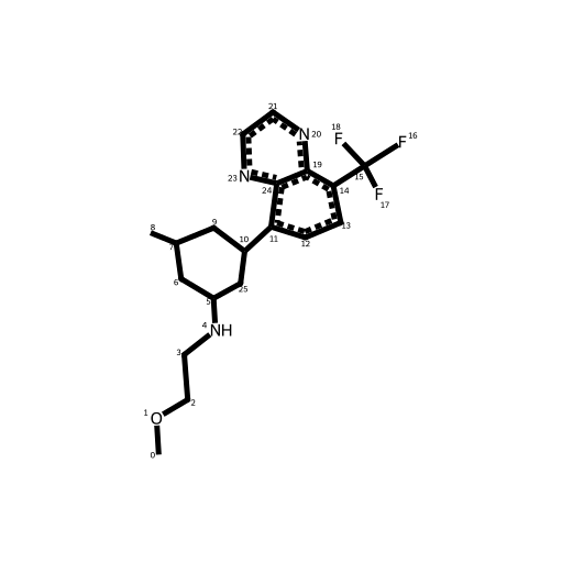 COCCNC1CC(C)CC(c2ccc(C(F)(F)F)c3nccnc23)C1